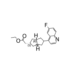 CCOC(=O)C[C@H]1C[C@H]2CC(c3ccnc4ccc(F)cc34)C[C@H]2C1